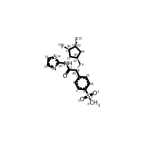 CS(=O)(=O)c1ccc([C@@H](C[C@H]2C[C@@H](F)[C@@H](F)C2)C(=O)Nc2nccs2)cc1